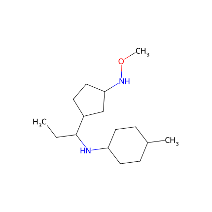 CCC(NC1CCC(C)CC1)C1CCC(NOC)C1